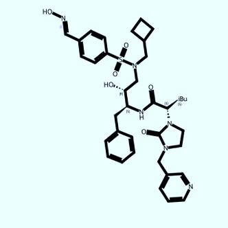 CC[C@H](C)[C@@H](C(=O)N[C@@H](Cc1ccccc1)[C@H](O)CN(CC1CCC1)S(=O)(=O)c1ccc(/C=N/O)cc1)N1CCN(Cc2cccnc2)C1=O